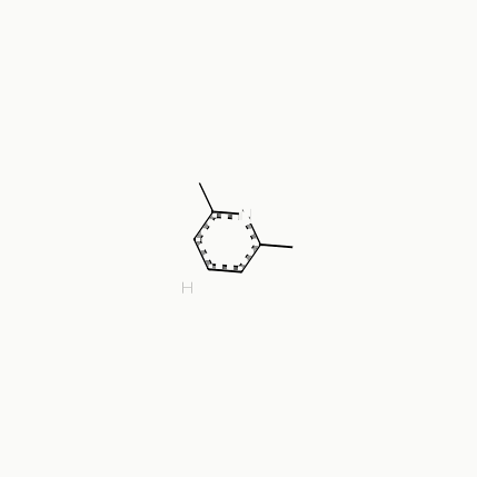 Cc1cccc(C)n1.I